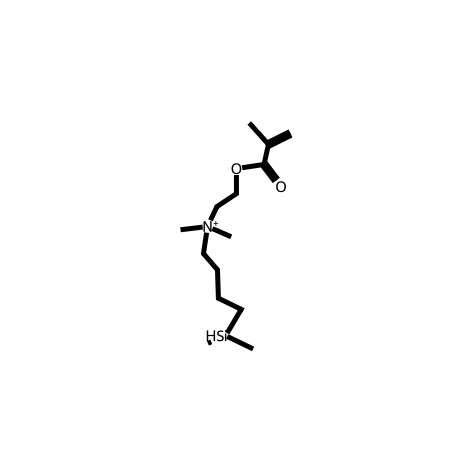 C=C(C)C(=O)OCC[N+](C)(C)CCCC[SiH](C)C